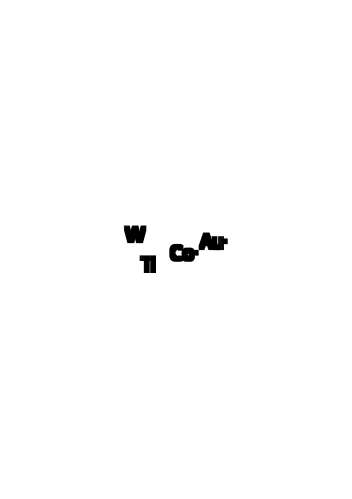 [Au].[Co].[Ti].[W]